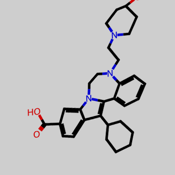 COC1CCN(CCN2CCn3c(c(C4CCCCC4)c4ccc(C(=O)O)cc43)-c3ccccc32)CC1